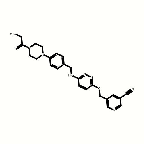 CCC(=O)N1CCN(c2ccc(CNc3ccc(OCc4cncc(C#N)c4)nn3)cc2)CC1